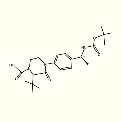 C[C@H](NC(=O)OC(C)(C)C)c1ccc(N2CCN(C(=O)O)C(C(C)(C)C)C2=O)cc1